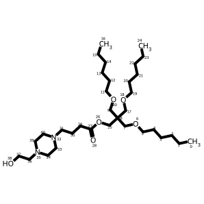 CCCCCCOCC(COCCCCCC)(COCCCCCC)COC(=O)CCCN1CCN(CCO)CC1